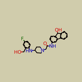 O=C(CN1CCC(Nc2ccc(F)cc2CO)CC1)Nc1ccc2c(c1)-c1ccccc1C2O